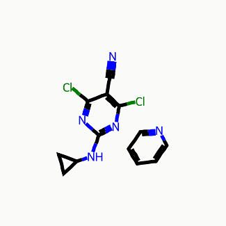 N#Cc1c(Cl)nc(NC2CC2)nc1Cl.c1ccncc1